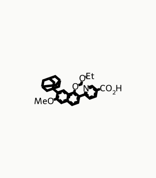 CCOCOc1c(-c2ccc(C(=O)O)cn2)ccc2cc(OC)c(C34CC5CC(CC(C5)C3)C4)cc12